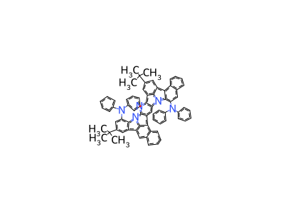 CC(C)(C)c1cc(N(c2ccccc2)c2ccccc2)c2c(c1)c1cc3ccccc3c3c4cc5c(nc4n2c13)c1cc(C(C)(C)C)cc2c3c4ccccc4cc(N(c4ccccc4)c4ccccc4)c3n5c12